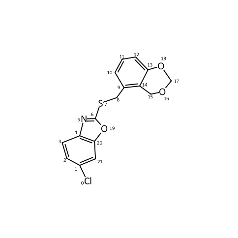 Clc1ccc2nc(SCc3cccc4c3COCO4)oc2c1